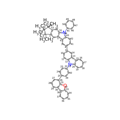 CC1(C)c2cc3c4cc(-c5ccc6c(c5)c5ccccc5n6-c5ccc(-c6cccc7c6oc6ccccc67)cc5)ccc4n(-c4ccccc4)c3cc2C(C)(C)C1(C)C